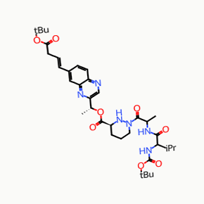 CC(NC(=O)C(NC(=O)OC(C)(C)C)C(C)C)C(=O)N1CCC[C@@H](C(=O)O[C@H](C)c2cnc3ccc(/C=C/CC(=O)OC(C)(C)C)cc3n2)N1